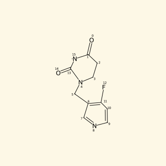 O=C1CCN(Cc2cnccc2F)C(=O)[N]1